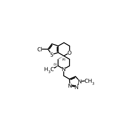 C[C@H]1C[C@@]2(CCN1Cc1cn(C)nn1)OCCc1cc(Cl)sc12